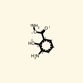 NOC(=O)c1cccc(N)c1O